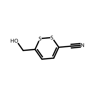 N#CC1=CC=C(CO)SS1